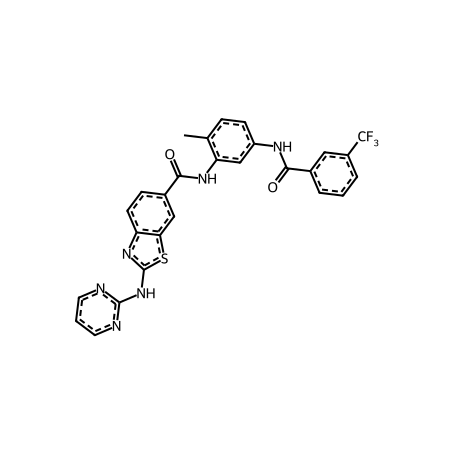 Cc1ccc(NC(=O)c2cccc(C(F)(F)F)c2)cc1NC(=O)c1ccc2nc(Nc3ncccn3)sc2c1